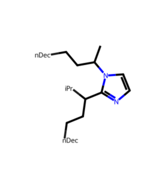 CCCCCCCCCCCCC(c1nccn1C(C)CCCCCCCCCCCC)C(C)C